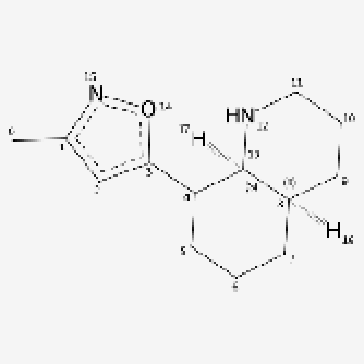 Cc1cc(C2CCC[C@@H]3CCCN[C@H]23)on1